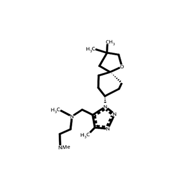 CNCCN(C)Cc1c(C)nnn1[C@H]1CC[C@]2(CC1)CC(C)(C)CO2